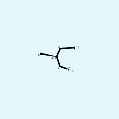 C[C@H](CF)CI